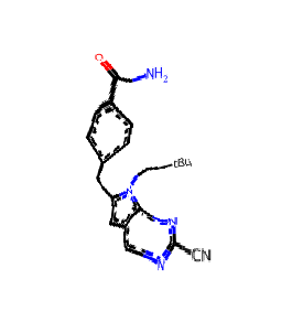 CC(C)(C)Cn1c(Cc2ccc(C(N)=O)cc2)cc2cnc(C#N)nc21